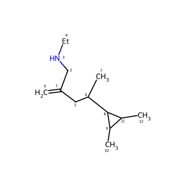 C=C(CNCC)CC(C)C1C(C)C1C